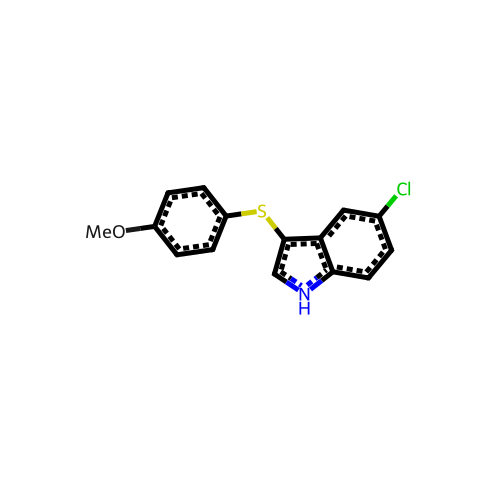 COc1ccc(Sc2c[nH]c3ccc(Cl)cc23)cc1